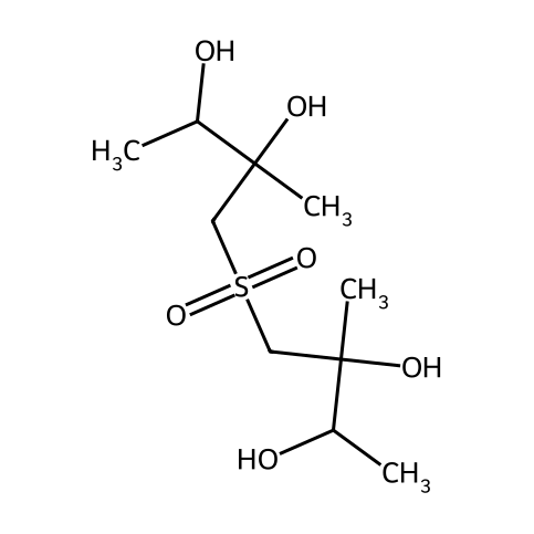 CC(O)C(C)(O)CS(=O)(=O)CC(C)(O)C(C)O